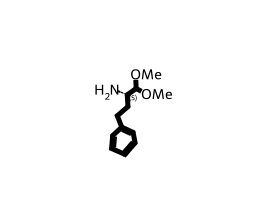 COC(OC)[C@@H](N)CCc1ccccc1